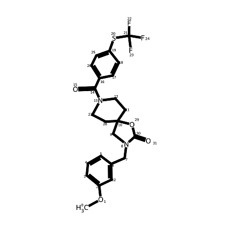 COc1cccc(CN2CC3(CCN(C(=O)c4ccc(SC(F)(F)F)cc4)CC3)OC2=O)c1